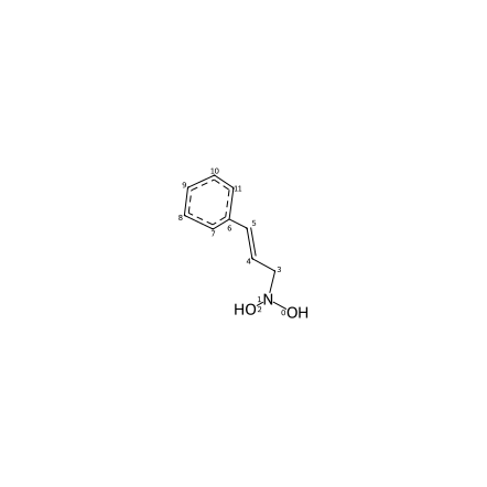 ON(O)CC=Cc1ccccc1